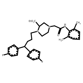 CCOC(=O)C1CN(CC(=O)Nc2c(C)cccc2C)CCN1CCCC(c1ccc(F)cc1)c1ccc(F)cc1